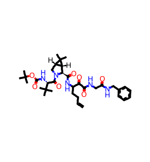 C=CCCC(NC(=O)[C@@H]1[C@@H]2[C@H](CN1C(=O)[C@@H](NC(=O)OC(C)(C)C)C(C)(C)C)C2(C)C)C(=O)C(=O)NCC(=O)NCc1ccccc1